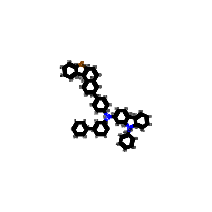 c1ccc(-c2cccc(N(c3ccc(-c4ccc5c(ccc6sc7ccccc7c65)c4)cc3)c3ccc4c5ccccc5n(-c5ccccc5)c4c3)c2)cc1